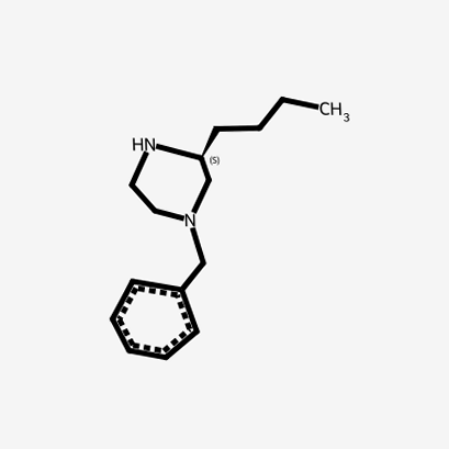 CCCC[C@H]1CN(Cc2ccccc2)CCN1